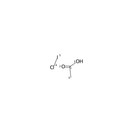 CC(=O)O.ClI